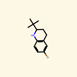 CC(C)(C)C1CCc2cc(Br)ccc2N1